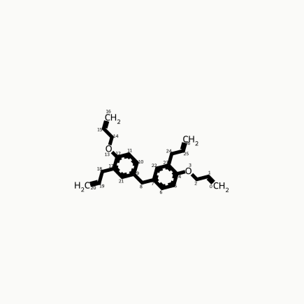 C=CCOc1ccc(Cc2ccc(OCC=C)c(CC=C)c2)cc1CC=C